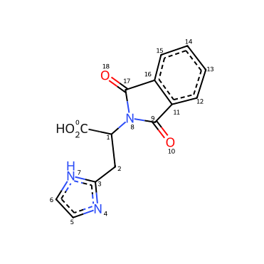 O=C(O)C(Cc1ncc[nH]1)N1C(=O)c2ccccc2C1=O